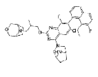 CCc1c(F)ccc2cccc(-c3c(Cl)cc4c(N5CC6CCC(C5)N6)nc(OCC(C)CN5C6CCC5COC6)nc4c3F)c12